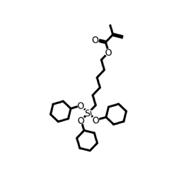 C=C(C)C(=O)OCCCCCC[Si](OC1CCCCC1)(OC1CCCCC1)OC1CCCCC1